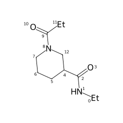 CCNC(=O)C1CCCN(C(=O)CC)C1